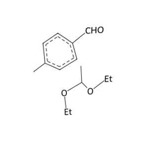 CCOC(C)OCC.Cc1ccc(C=O)cc1